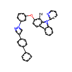 [Pd][c]1c(Oc2cccc(-n3cc(-c4ccc(-c5ccccc5)cc4)cn3)c2)ccc2c3ccccc3n(-c3ccccn3)c12